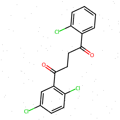 O=C(CCC(=O)c1cc(Cl)ccc1Cl)c1ccccc1Cl